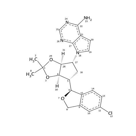 CC1(C)O[C@@H]2[C@@H]([C@@H]3OCc4cc(Cl)ccc43)C[C@@H](n3ccc4c(N)ncnc43)[C@@H]2O1